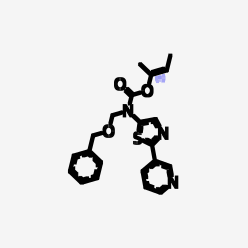 C/C=C(\C)OC(=O)N(COCc1ccccc1)c1cnc(-c2cccnc2)s1